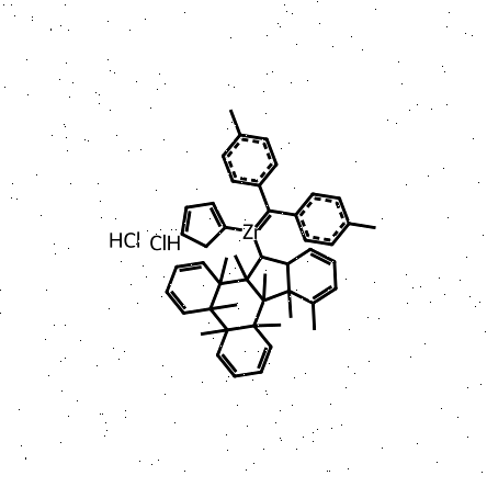 CC1=CC=CC2[CH]([Zr]([C]3=CC=CC3)=[C](c3ccc(C)cc3)c3ccc(C)cc3)C3(C)C4(C)C=CC=CC4(C)C4(C)C=CC=CC4(C)C3(C)C12C.Cl.Cl